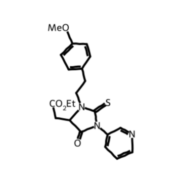 CCOC(=O)CC1C(=O)N(c2cccnc2)C(=S)N1CCc1ccc(OC)cc1